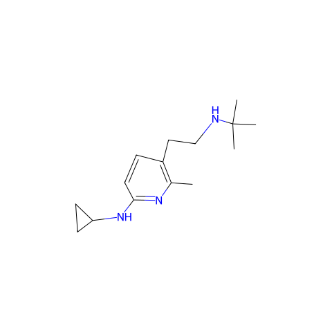 Cc1nc(NC2CC2)ccc1CCNC(C)(C)C